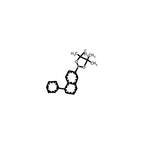 CC1(C)OB(c2ccc3c(-c4ccccc4)cccc3c2)OC1(C)C